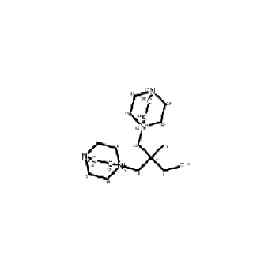 CC(CF)(C[N+]12CCN(CC1)CC2)C[N+]12CCN(CC1)CC2